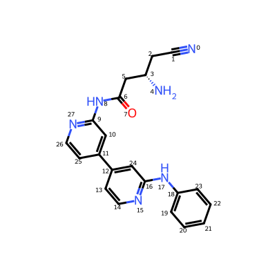 N#CC[C@H](N)CC(=O)Nc1cc(-c2ccnc(Nc3ccccc3)c2)ccn1